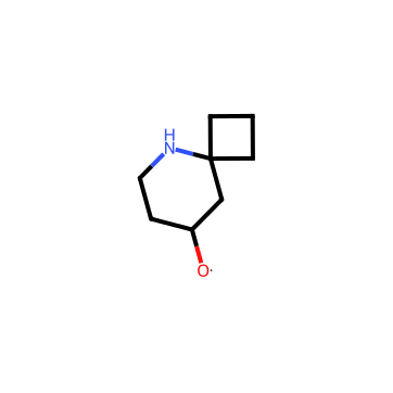 [O]C1CCNC2(CCC2)C1